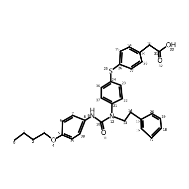 CCCCOc1ccc(NC(=O)N(CCc2ccccc2)c2ccc(Sc3ccc(CC(=O)O)cc3)cc2)cc1